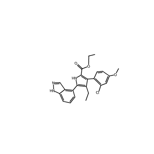 CCOC(=O)c1[nH]c(-c2cccc3[nH]ncc23)c(CC)c1-c1ccc(OC)cc1Cl